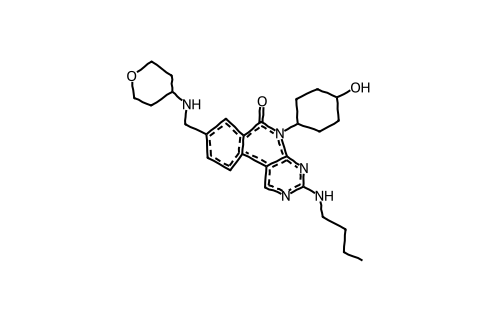 CCCCNc1ncc2c3ccc(CNC4CCOCC4)cc3c(=O)n(C3CCC(O)CC3)c2n1